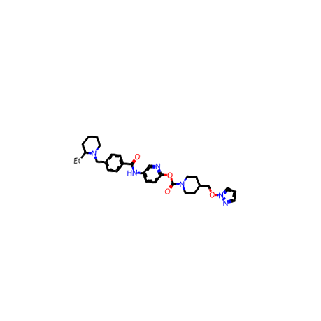 CCC1CCCCN1Cc1ccc(C(=O)Nc2ccc(OC(=O)N3CCC(COn4cccn4)CC3)nc2)cc1